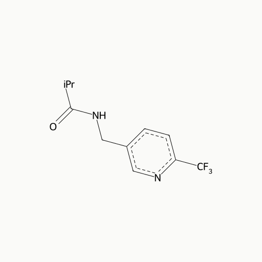 CC(C)C(=O)NCc1ccc(C(F)(F)F)nc1